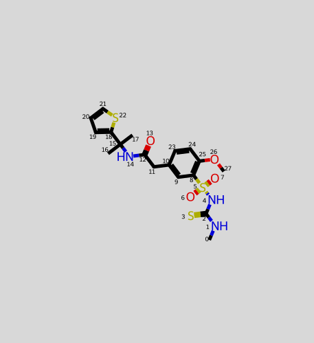 CNC(=S)NS(=O)(=O)c1cc(CC(=O)NC(C)(C)c2cccs2)ccc1OC